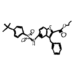 CCOC(=O)c1sc2ccc(NS(=O)(=O)c3ccc(C(C)(C)C)cc3)cc2c1-c1ccccc1